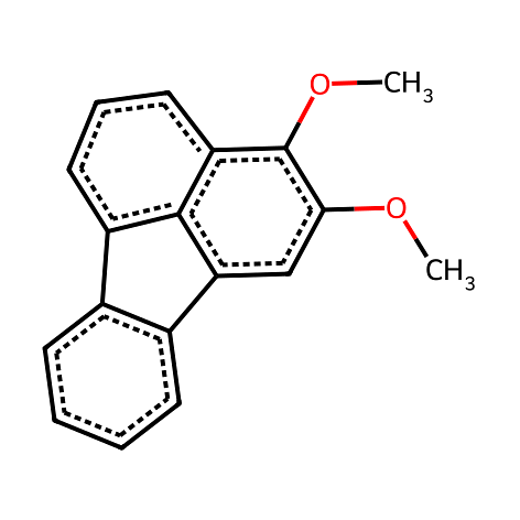 COc1cc2c3c(cccc3c1OC)-c1ccccc1-2